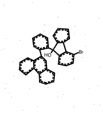 OC1(c2ccccc2-c2cc3ccccc3c3ccccc23)c2ccccc2-c2c(Br)cccc21